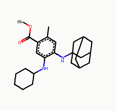 Cc1cc(NC23CC4CC(CC(C4)C2)C3)c(NC2CCCCC2)cc1C(=O)OC(C)(C)C